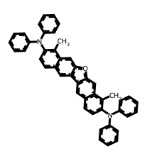 Cc1c(N(c2ccccc2)c2ccccc2)ccc2cc3c(cc12)oc1cc2c(C)c(N(c4ccccc4)c4ccccc4)ccc2cc13